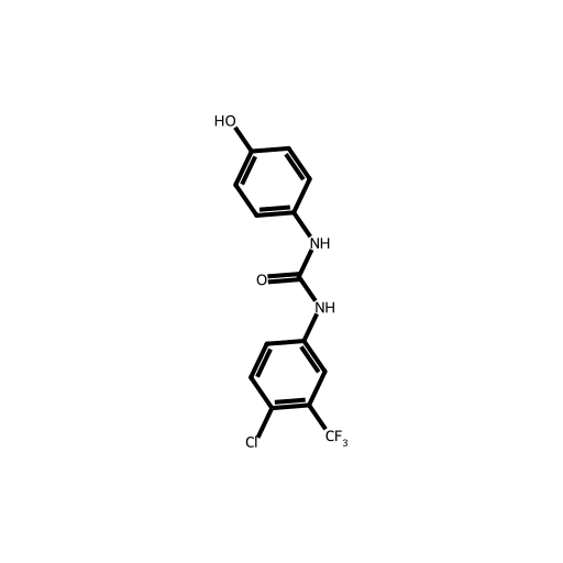 O=C(Nc1ccc(O)cc1)Nc1ccc(Cl)c(C(F)(F)F)c1